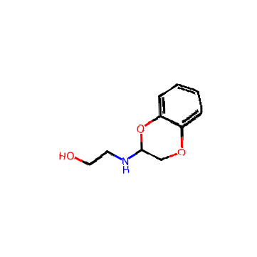 OCCNC1COc2ccccc2O1